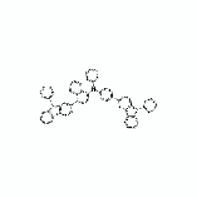 c1ccc(N(c2ccc(-c3ccc4c(c3)c3ccccc3n4-c3ccccc3)cc2)c2ccc(-c3ccc4c5ccccc5n(-c5ccccc5)c4c3)c3ccccc23)cc1